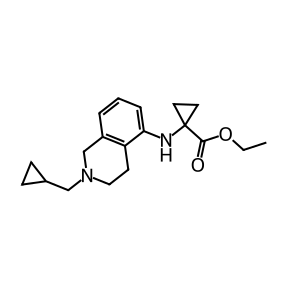 CCOC(=O)C1(Nc2cccc3c2CCN(CC2CC2)C3)CC1